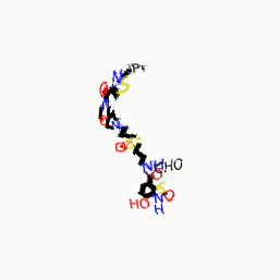 CC(C)c1nc(C(=O)N2CCOC3(CCN(CCC[S+]([O-])CCCCNC[C@H](OC=O)c4ccc(O)c5[nH]c(=O)sc45)CC3)C2)cs1